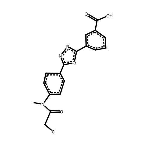 CN(C(=O)CCl)c1ccc(-c2nnc(-c3cccc(C(=O)O)c3)o2)cc1